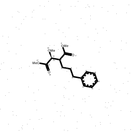 COC(=O)C(CCCc1ccccc1)[C@H](OC)C(=O)OC